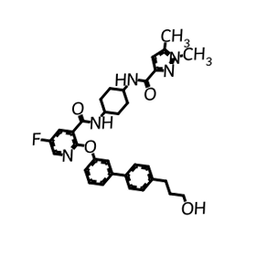 Cc1cc(C(=O)NC2CCC(NC(=O)c3cc(F)cnc3Oc3cccc(-c4ccc(CCCO)cc4)c3)CC2)nn1C